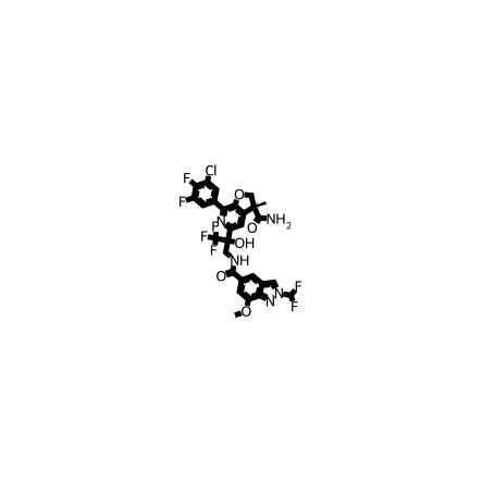 COc1cc(C(=O)NCC(O)(c2cc3c(c(-c4cc(F)c(F)c(Cl)c4)n2)OC[C@]3(C)C(N)=O)C(F)(F)F)cc2cn(C(F)F)nc12